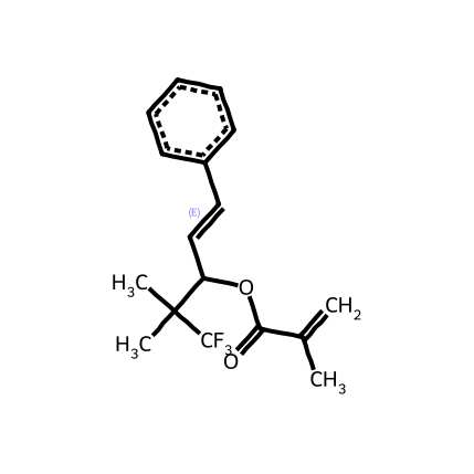 C=C(C)C(=O)OC(/C=C/c1ccccc1)C(C)(C)C(F)(F)F